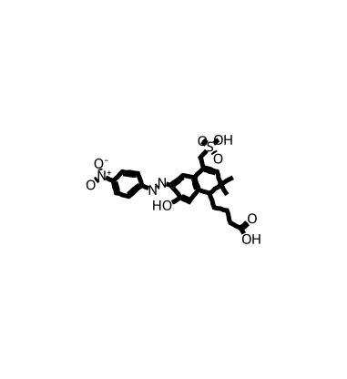 CC1(C)C=C(CS(=O)(=O)O)c2cc(/N=N/c3ccc([N+](=O)[O-])cc3)c(O)cc2C1CCCC(=O)O